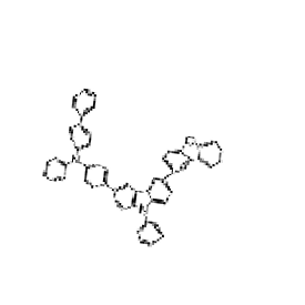 c1ccc(-c2ccc(N(c3ccccc3)c3ccc(-c4ccc5c(c4)c4cc(-c6ccc7oc8ccccc8c7c6)ccc4n5-c4ccccc4)cc3)cc2)cc1